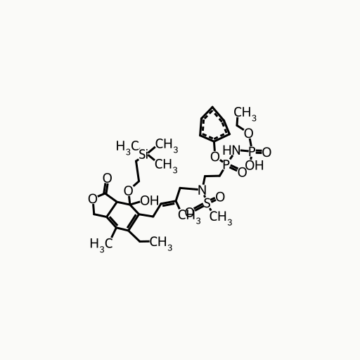 CCOP(=O)(O)NP(=O)(CCN(C/C(C)=C/CC1=C(CC)C(C)=C2COC(=O)C2C1(O)OCC[Si](C)(C)C)S(C)(=O)=O)Oc1ccccc1